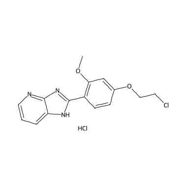 COc1cc(OCCCl)ccc1-c1nc2ncccc2[nH]1.Cl